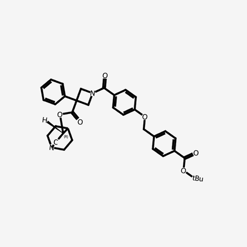 CC(C)(C)OC(=O)c1ccc(COc2ccc(C(=O)N3CC(C(=O)O[C@H]4CN5CCC4CC5)(c4ccccc4)C3)cc2)cc1